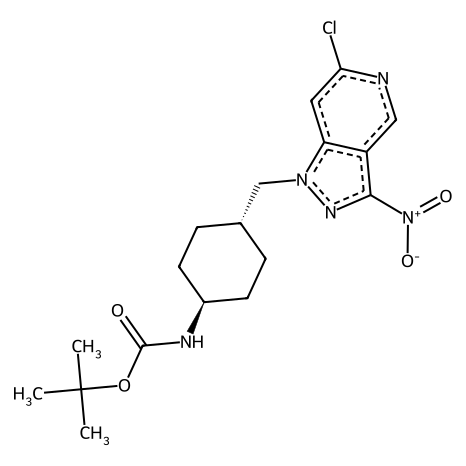 CC(C)(C)OC(=O)N[C@H]1CC[C@H](Cn2nc([N+](=O)[O-])c3cnc(Cl)cc32)CC1